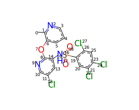 Cc1ncccc1Oc1ncc(Cl)cc1NS(=O)(=O)c1cc(Cl)c(Cl)cc1Cl